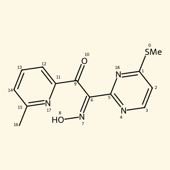 CSc1ccnc(/C(=N/O)C(=O)c2cccc(C)n2)n1